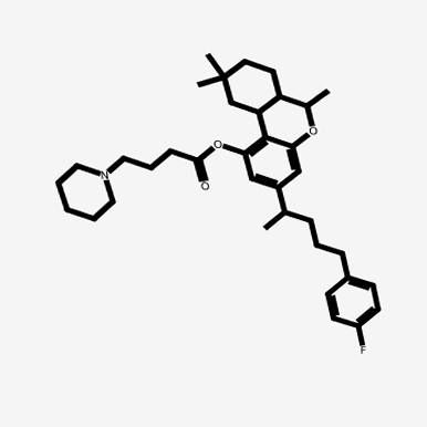 CC(CCCc1ccc(F)cc1)c1cc(OC(=O)CCCN2CCCCC2)c2c(c1)OC(C)C1CCC(C)(C)CC21